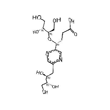 O=C(O)CC[C@@H](O[C@H](CO)[C@H](O)CO)c1cnc(C[C@H](O)[C@H](O)CO)cn1